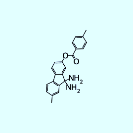 Cc1ccc(C(=O)Oc2ccc3c(c2)C(N)(N)c2cc(C)ccc2-3)cc1